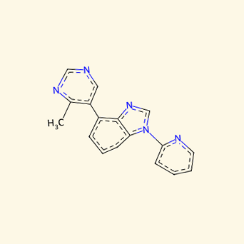 Cc1ncncc1-c1cccc2c1ncn2-c1ccccn1